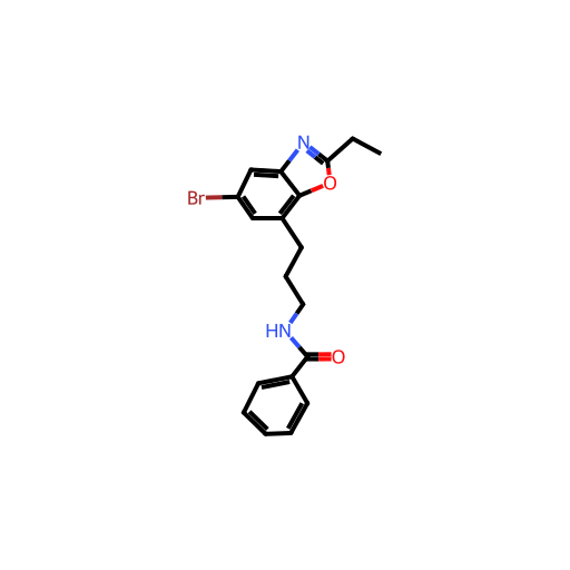 CCc1nc2cc(Br)cc(CCCNC(=O)c3ccccc3)c2o1